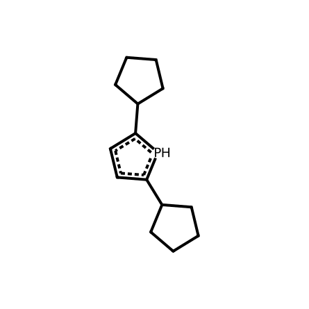 c1cc(C2CCCC2)[pH]c1C1CCCC1